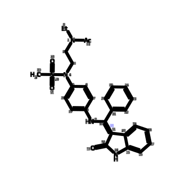 CCN(CCN(c1ccc(N/C(=C2\C(=O)Nc3ccccc32)c2ccccc2)cc1)S(C)(=O)=O)C(C)=O